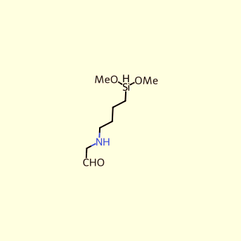 CO[SiH](CCCCNCC=O)OC